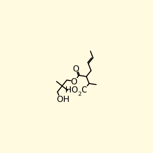 CC=CCC(C(=O)OCC(C)(C)CO)C(C)C(=O)O